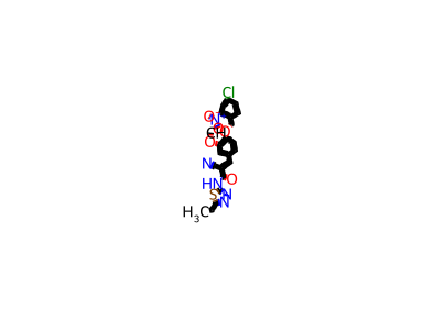 CCc1nnc(NC(=O)/C(C#N)=C/c2ccc(OCc3ccc(Cl)cc3[N+](=O)[O-])c(OC)c2)s1